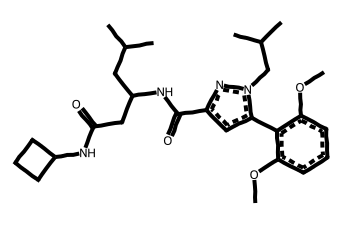 COc1cccc(OC)c1-c1cc(C(=O)NC(CC(=O)NC2CCC2)CC(C)C)nn1CC(C)C